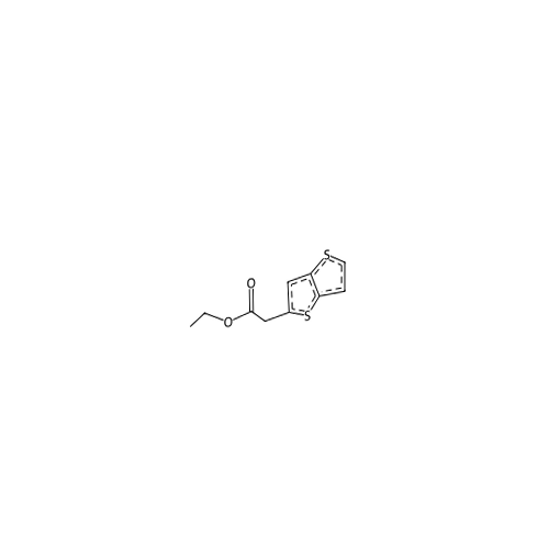 CCOC(=O)Cc1cc2sccc2s1